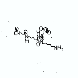 NCCCCCCNC(=O)[C@H](CCCCNC(=O)CCN1CC=CC1=O)NC(=O)CCN1C(=O)C=CC1=O